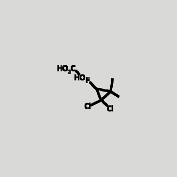 CC1(C)C(F)C1(Cl)Cl.O=C(O)O